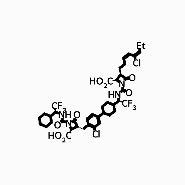 CC/C=C(Cl)\C=C/CC[C@H]1C(=O)N(C(=O)N[C@@H](C2CCC(c3ccc(C[C@H]4C(=O)N(C(=O)N[C@@H](C5CCCCC5)C(F)(F)F)[C@@H]4C(=O)O)c(Cl)c3)CC2)C(F)(F)F)[C@@H]1C(=O)O